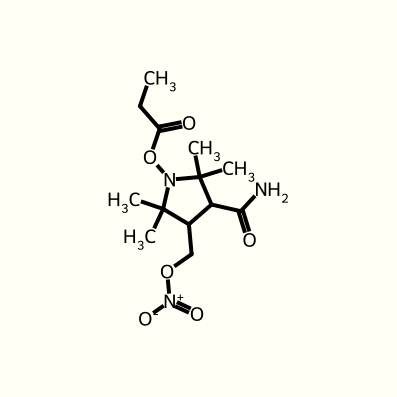 CCC(=O)ON1C(C)(C)C(CO[N+](=O)[O-])C(C(N)=O)C1(C)C